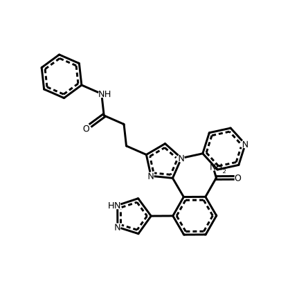 NC(=O)c1cccc(-c2cn[nH]c2)c1-c1nc(CCC(=O)Nc2ccccc2)cn1-c1ccncc1